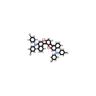 Cc1ccc(N(c2ccc(C)cc2)c2cc3oc4c(ccc5oc6cc(N(c7ccc(C)cc7)c7ccc(C)cc7)c7ccccc7c6c54)c3c3ccccc23)cc1